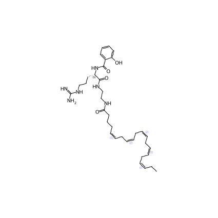 CC/C=C\C/C=C\C/C=C\C/C=C\C/C=C\CCCC(=O)NCCNC(=O)[C@H](CCCNC(=N)N)NC(=O)c1ccccc1O